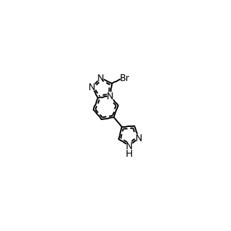 Brc1nnc2ccc(-c3cn[nH]c3)cn12